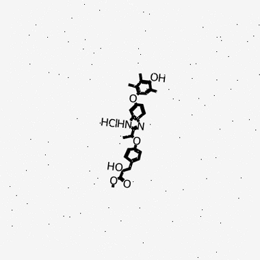 COC(=O)C(O)Cc1ccc(OC(C)c2nc3ccc(Oc4cc(C)c(O)c(C)c4C)cc3[nH]2)cc1.Cl